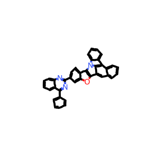 c1ccc(-c2nc(-c3ccc4c(c3)oc3c5cc6ccccc6c6c7ccccc7n(c43)c56)nc3ccccc23)cc1